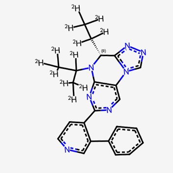 [2H]C([2H])([2H])C([2H])([2H])[C@@H]1c2nncn2-c2cnc(-c3ccncc3-c3ccccc3)nc2N1C([2H])(C([2H])([2H])[2H])C([2H])([2H])[2H]